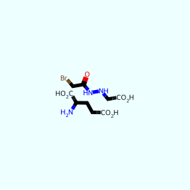 NC(CCC(=O)O)C(=O)O.O=C(O)CNNC(=O)CBr